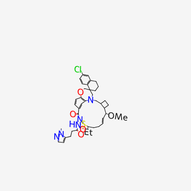 CCC1CC/C=C/C(OC)C2CCC2CN2CC3(CCCc4cc(Cl)ccc43)COc3ccc(cc32)C(=O)N=S1(=O)NC(=O)CCc1ccnn1C